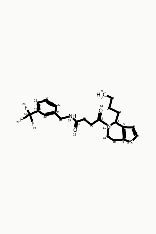 CCCCC1c2ccsc2CCN1C(=O)CCC(=O)NCc1cccc(C(F)(F)F)c1